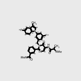 CNC(=O)c1cccc(-c2ncc(NC(=O)C(C)NC)c(=O)n2Cc2cc(F)cc(-n3cc(C)c4cc(F)ccc43)c2)c1